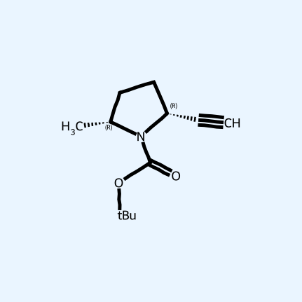 C#C[C@H]1CC[C@@H](C)N1C(=O)OC(C)(C)C